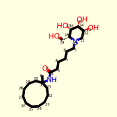 CC1(NC(=O)CCCCCN2C[C@H](O)[C@@H](O)[C@@H](O)[C@H]2CO)CCCCCCCCCC1